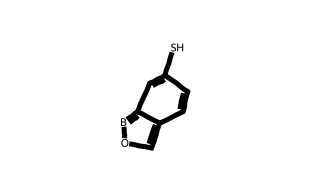 Sc1ccc2cobc2c1